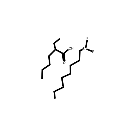 CCCCC(CC)C(=O)O.CCCCCCC[CH2][Sn]([F])[F]